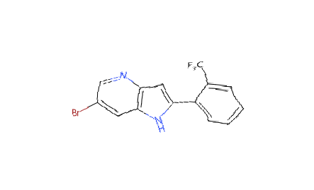 FC(F)(F)c1ccccc1-c1cc2ncc(Br)cc2[nH]1